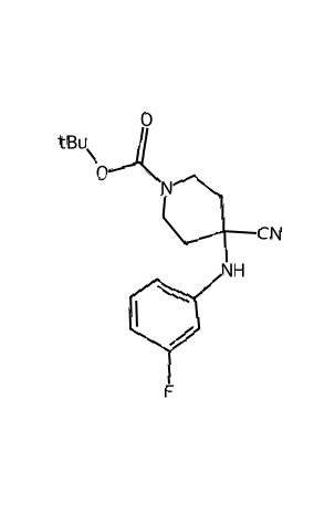 CC(C)(C)OC(=O)N1CCC(C#N)(Nc2cccc(F)c2)CC1